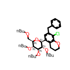 CCCCOC[C@H]1O[C@@H](c2cc(Cc3ccccc3)c(Cl)c3c2CCCO3)[C@H](OCCCC)[C@@H](OCCCC)[C@@H]1OCCCC